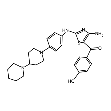 Nc1nc(Nc2ccc(N3CCC(N4CCCCC4)CC3)cc2)sc1C(=O)c1ccc(O)cc1